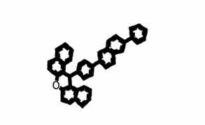 c1ccc(-c2ccc3cc(-c4ccc(C5c6c(ccc7ccccc67)Oc6ccc7ccccc7c65)cc4)ccc3c2)cc1